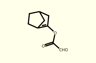 O=CC(=O)OC1=C2CCC(C2)C1